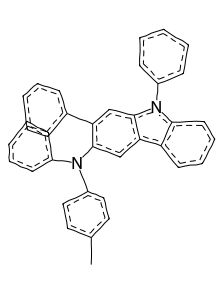 Cc1ccc(N(c2ccccc2)c2cc3c4ccccc4n(-c4ccccc4)c3cc2-c2ccccc2)cc1